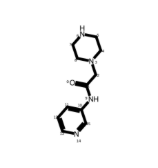 O=C(CN1CCNCC1)Nc1cccnc1